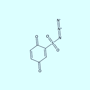 [N-]=[N+]=NS(=O)(=O)C1=CC(=O)C=CC1=O